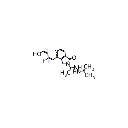 C=C(C)NNC(C)N1Cc2c(ccnc2/C=C(F)\C=C/O)C1=O